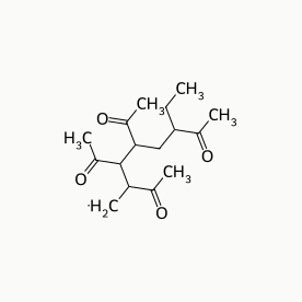 [CH2]C(C(C)=O)C(C(C)=O)C(CC(CC)C(C)=O)C(C)=O